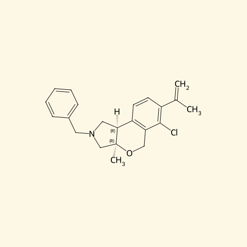 C=C(C)c1ccc2c(c1Cl)CO[C@@]1(C)CN(Cc3ccccc3)C[C@@H]21